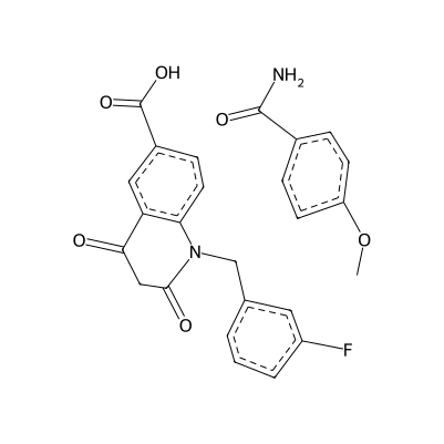 COc1ccc(C(N)=O)cc1.O=C(O)c1ccc2c(c1)C(=O)CC(=O)N2Cc1cccc(F)c1